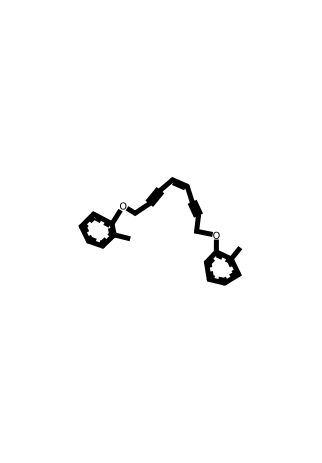 Cc1ccccc1OCC#C/C=C\C#CCOc1ccccc1C